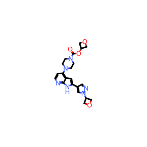 O=C(OC1COC1)N1CCN(c2ccnc3[nH]c(-c4cnn(C5COC5)c4)cc23)CC1